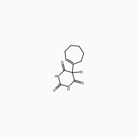 CCC1(C2=CCCCCC2)C(=O)NC(=O)NC1=O